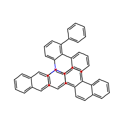 c1ccc(-c2ccccc2-c2c(-c3ccccc3)cccc2N(c2ccc3ccccc3c2)c2ccc3c(ccc4ccccc43)c2)cc1